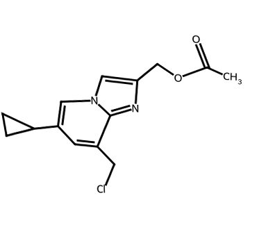 CC(=O)OCc1cn2cc(C3CC3)cc(CCl)c2n1